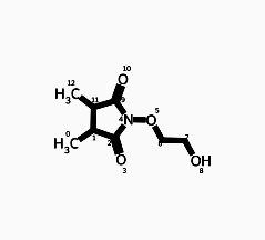 CC1C(=O)N(OCCO)C(=O)C1C